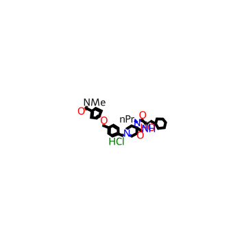 CCCN1C(=O)[C@@H](CC2(O)CCCCC2)NC(=O)C12CCN(Cc1ccc(COc3ccc(C(=O)NC)cc3)cc1)CC2.Cl